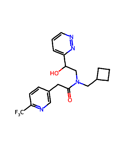 O=C(Cc1ccc(C(F)(F)F)nc1)N(CC1CCC1)CC(O)c1cccnn1